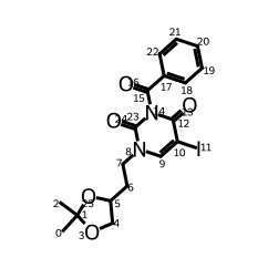 CC1(C)OCC(CCn2cc(I)c(=O)n(C(=O)c3ccccc3)c2=O)O1